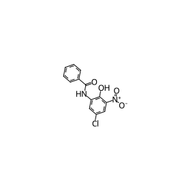 O=C(Nc1cc(Cl)cc([N+](=O)[O-])c1O)c1ccccc1